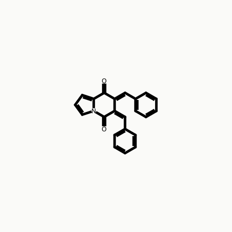 O=C1C(=Cc2ccccc2)C(=Cc2ccccc2)C(=O)n2cccc21